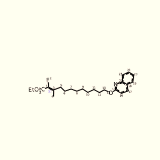 CCOC(=O)/C(F)=C(\C)CCCCCCCCCOc1ccc2ccccc2n1